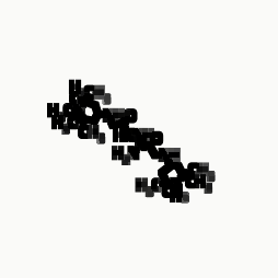 CN1C(C)(C)CC(NCC(=O)NNN(N)C(=O)CNC2CC(C)(C)NC(C)(C)C2)CC1(C)C